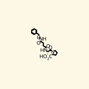 C[C@H](NC(=O)CCC(=O)NOCc1ccccc1)C(=O)N1CCC[C@H]1C(=O)O